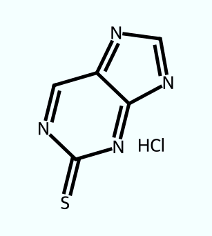 Cl.S=C1N=CC2=NC=NC2=N1